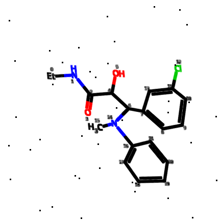 CCNC(=O)C(O)C(c1cccc(Cl)c1)N(C)c1ccccc1